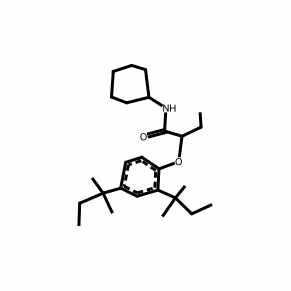 CCC(Oc1ccc(C(C)(C)CC)cc1C(C)(C)CC)C(=O)NC1C[CH]CCC1